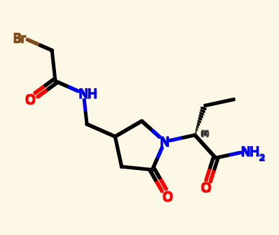 CC[C@H](C(N)=O)N1CC(CNC(=O)CBr)CC1=O